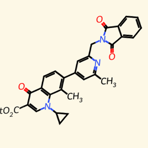 CCOC(=O)c1cn(C2CC2)c2c(C)c(-c3cc(C)nc(CN4C(=O)c5ccccc5C4=O)c3)ccc2c1=O